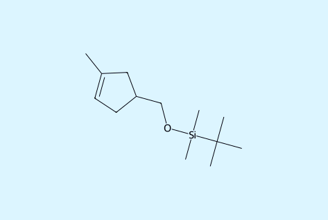 CC1=CCC(CO[Si](C)(C)C(C)(C)C)C1